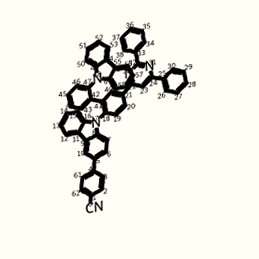 N#Cc1ccc(-c2ccc3c(c2)c2ccccc2n3-c2ccc(-c3cc(-c4ccccc4)nc(-c4ccccc4)n3)cc2-c2ccccc2-n2c3ccccc3c3ccccc32)cc1